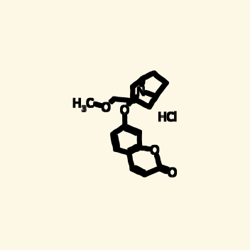 COCCN1C2CCC1CC(Oc1ccc3ccc(=O)oc3c1)C2.Cl